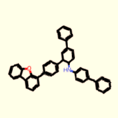 C1=CC(Nc2ccc(-c3ccccc3)cc2)C(c2ccc(-c3cccc4c3oc3ccccc34)cc2)C=C1c1ccccc1